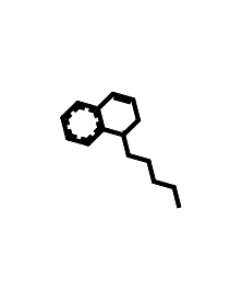 CCCCC[C]1CC=Cc2ccccc21